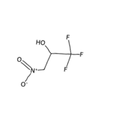 O=[N+]([O-])CC(O)C(F)(F)F